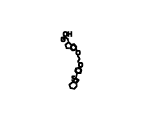 O=C(O)C[C@@H]1CCc2cc(OCCCOc3ccc(-c4cc5c(s4)CCCC5)cc3)ccc21